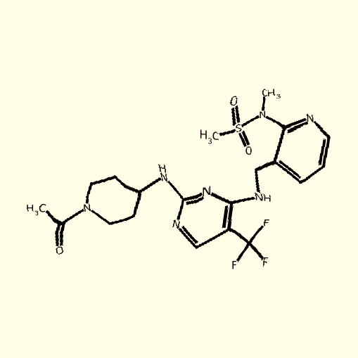 CC(=O)N1CCC(Nc2ncc(C(F)(F)F)c(NCc3cccnc3N(C)S(C)(=O)=O)n2)CC1